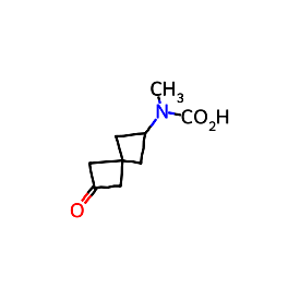 CN(C(=O)O)C1CC2(CC(=O)C2)C1